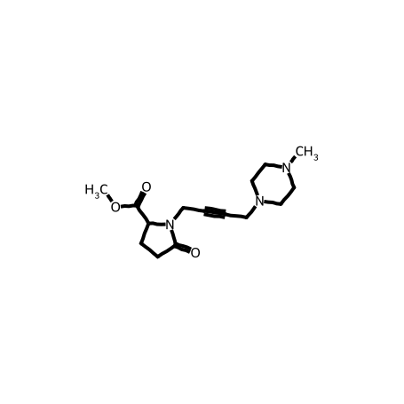 COC(=O)C1CCC(=O)N1CC#CCN1CCN(C)CC1